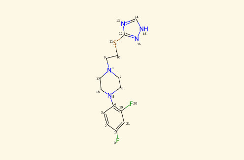 Fc1ccc(N2CCN(CCSc3nc[nH]n3)CC2)c(F)c1